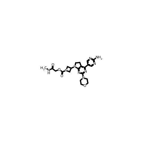 CNC(=O)COC(=O)N1CC(N2CCc3c(-c4cnc(N)nc4)nc(N4CCOCC4)nc32)C1